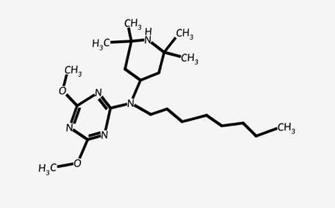 CCCCCCCCN(c1nc(OC)nc(OC)n1)C1CC(C)(C)NC(C)(C)C1